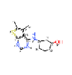 Cc1sc2ncnc(NC3CCCC(O)C3)c2c1C